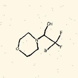 OC(N1CCOCC1)C(F)(F)Br